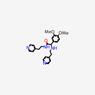 COc1ccc(C(NCCc2ccncc2)C(=O)NCCc2ccncc2)cc1OC